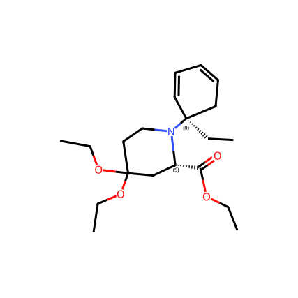 CCOC(=O)[C@@H]1CC(OCC)(OCC)CCN1[C@@]1(CC)C=CC=CC1